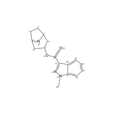 CN1C2CCC1CC(OC(=O)c1nn(C)c3ccccc13)C2